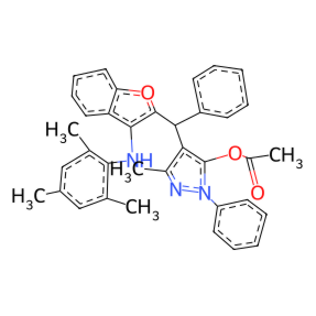 CC(=O)Oc1c(C(c2ccccc2)c2oc3ccccc3c2Nc2c(C)cc(C)cc2C)c(C)nn1-c1ccccc1